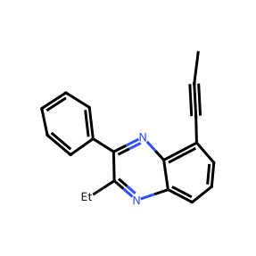 CC#Cc1cccc2nc(CC)c(-c3ccccc3)nc12